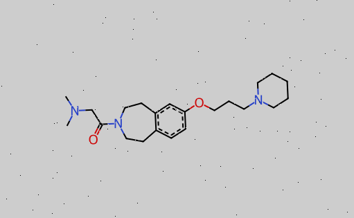 CN(C)CC(=O)N1CCc2ccc(OCCCN3CCCCC3)cc2CC1